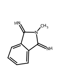 CN1C(=N)c2ccccc2C1=N